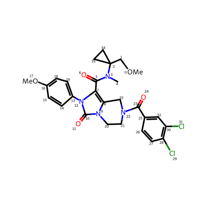 COCC1(N(C)C(=O)c2c3n(c(=O)n2-c2ccc(OC)cc2)CCN(C(=O)c2ccc(Cl)c(Cl)c2)C3)CC1